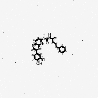 CC(CCCc1ccccc1)NC(=O)Nc1ccc2ncc(-c3ccc(O)c(Cl)c3)nc2n1